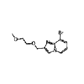 COCCOCc1cn2cccc(Br)c2n1